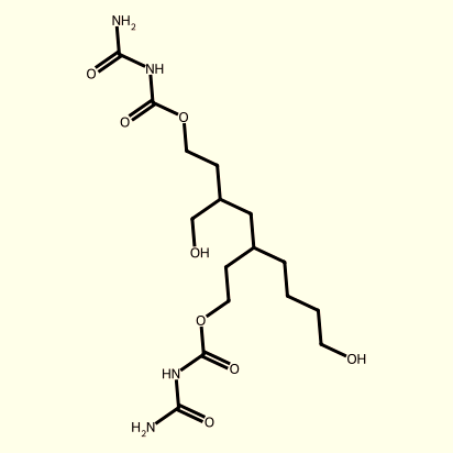 NC(=O)NC(=O)OCCC(CO)CC(CCCCO)CCOC(=O)NC(N)=O